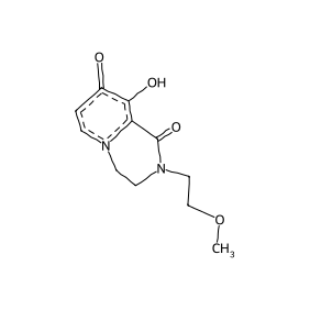 COCCN1CCn2ccc(=O)c(O)c2C1=O